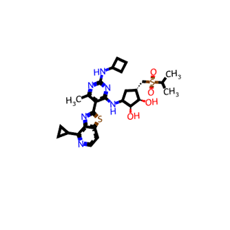 Cc1nc(NC2CCC2)nc(NC2C[C@H](CS(=O)(=O)C(C)C)[C@@H](O)[C@H]2O)c1-c1nc2c(C3CC3)nccc2s1